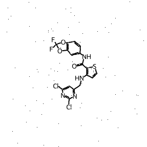 O=C(Nc1ccc2c(c1)OC(F)(F)O2)c1sccc1NCc1cc(Cl)nc(Cl)n1